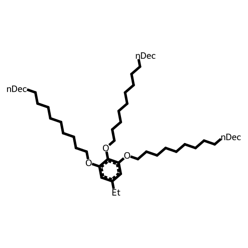 CCCCCCCCCCCCCCCCCCCOc1cc(CC)cc(OCCCCCCCCCCCCCCCCCCC)c1OCCCCCCCCCCCCCCCCCCC